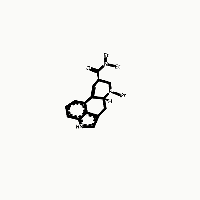 CCN(CC)C(=O)[C@@H]1C=C2c3cccc4[nH]cc(c34)C[C@H]2N(C(C)C)C1